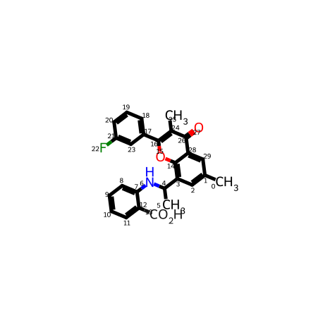 Cc1cc(C(C)Nc2ccccc2C(=O)O)c2oc(-c3cccc(F)c3)c(C)c(=O)c2c1